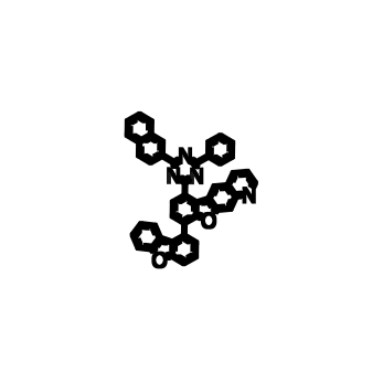 c1ccc(-c2nc(-c3ccc4ccccc4c3)nc(-c3ccc(-c4cccc5oc6ccccc6c45)c4oc5cc6ncccc6cc5c34)n2)cc1